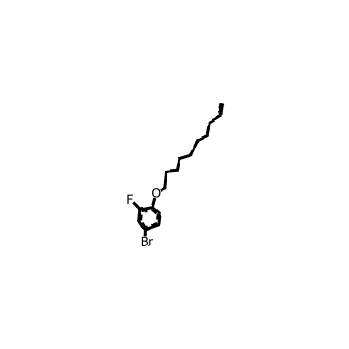 C=CCCCCCCCCOc1ccc(Br)cc1F